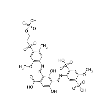 COc1cc(S(=O)(=O)CCOS(=O)(=O)O)c(C)cc1N=Nc1c(C(=O)O)cc(O)c(N=Nc2cc(S(=O)(=O)O)c(OC)cc2S(=O)(=O)O)c1O